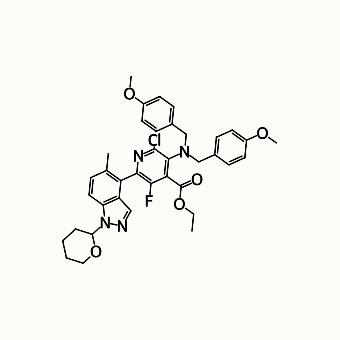 CCOC(=O)c1c(F)c(-c2c(C)ccc3c2cnn3C2CCCCO2)nc(Cl)c1N(Cc1ccc(OC)cc1)Cc1ccc(OC)cc1